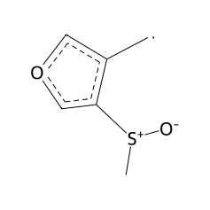 [CH2]c1cocc1[S+](C)[O-]